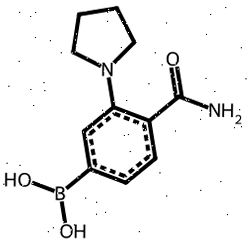 NC(=O)c1ccc(B(O)O)cc1N1CCCC1